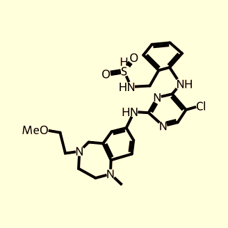 COCCN1CCN(C)c2ccc(Nc3ncc(Cl)c(Nc4ccccc4CN[SH](=O)=O)n3)cc2C1